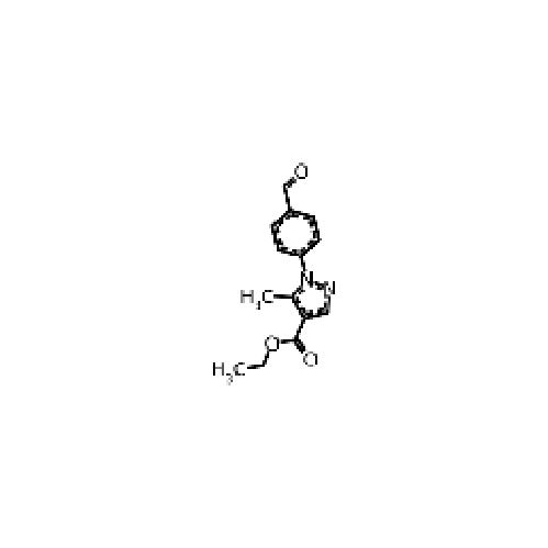 CCOC(=O)c1cnn(-c2ccc(C=O)cc2)c1C